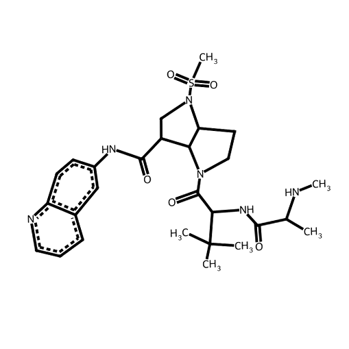 CNC(C)C(=O)NC(C(=O)N1CCC2C1C(C(=O)Nc1ccc3ncccc3c1)CN2S(C)(=O)=O)C(C)(C)C